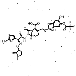 Nc1nc(C(=NOC2CCNC2=O)C(=O)N[C@@H]2C(=O)N3C(C(=O)O)=C(CSc4nc5cc(O)c(OC(=O)C(F)(F)F)cc5[nH]4)CS[C@@H]23)cs1